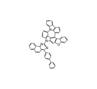 c1ccc(-c2ccc(-c3nc(-n4c5cc6oc7ccccc7c6c6c7cccc8c9ccccc9n(c9cccc4c9c65)c87)nc4c3ccc3ccccc34)cc2)cc1